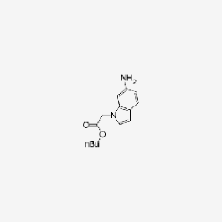 CCCCOC(=O)Cn1ccc2ccc(N)cc21